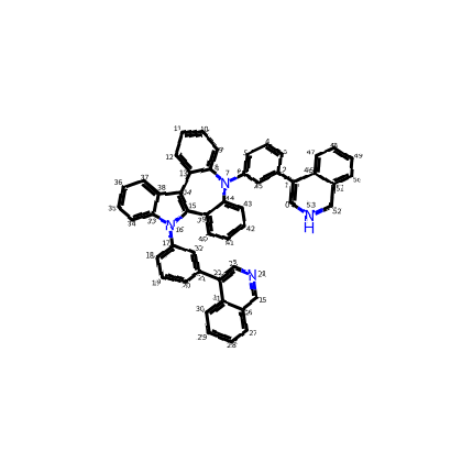 C1=C(c2cccc(N3c4ccccc4-c4c(n(-c5cccc(-c6cncc7ccccc67)c5)c5ccccc45)-c4ccccc43)c2)c2ccccc2CN1